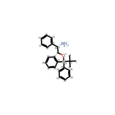 CC(C)(C)[Si](OC[C@@H](N)c1ccccc1)(c1ccccc1)c1ccccc1